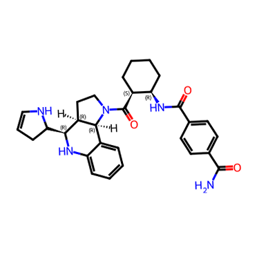 NC(=O)c1ccc(C(=O)N[C@@H]2CCCC[C@@H]2C(=O)N2CC[C@@H]3[C@H](C4CC=CN4)Nc4ccccc4[C@@H]32)cc1